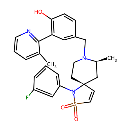 Cc1cccnc1-c1cc(CN2CC[C@]3(C=CS(=O)(=O)N3c3cccc(F)c3)C[C@@H]2C)ccc1O